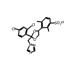 Cc1ccc(S(=O)(=O)O)c(C)c1C1COC(Cn2cncn2)(c2ccc(Cl)cc2Cl)O1